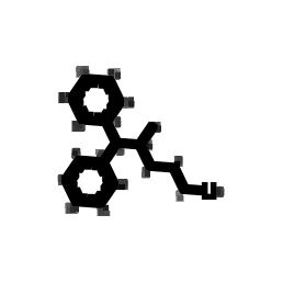 [Li][CH2]CCC(C)C(c1ccccc1)c1ccccc1